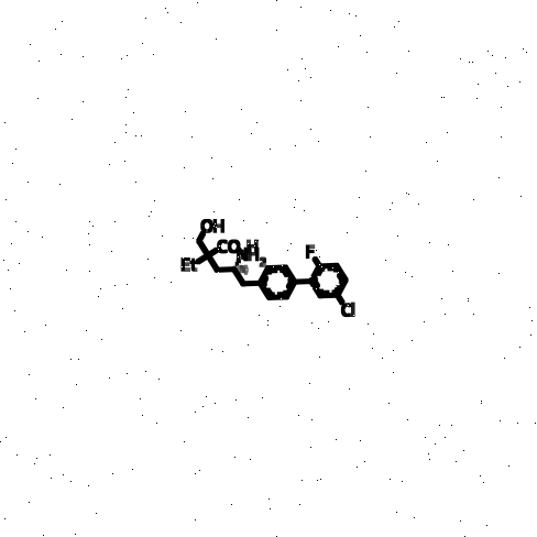 CCC(CO)(C[C@H](N)Cc1ccc(-c2cc(Cl)ccc2F)cc1)C(=O)O